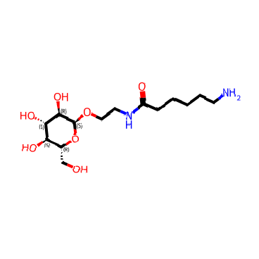 NCCCCCC(=O)NCCO[C@H]1O[C@H](CO)[C@@H](O)[C@H](O)[C@H]1O